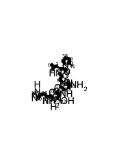 CC(C)C[C@H](NC(=O)CNC(=O)[C@H](CC(N)=O)NC(=O)[C@H](CO)NC(=O)[C@@H](N)Cc1cnc[nH]1)C(=O)N1CCC[C@H]1C